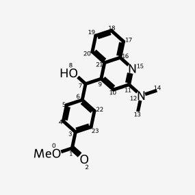 COC(=O)c1ccc(C(O)c2cc(N(C)C)nc3ccccc23)cc1